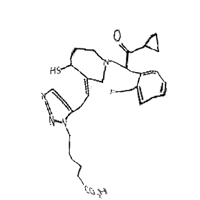 O=C(O)CCCCn1nncc1/C=C1/CN(C(C(=O)C2CC2)c2ccccc2F)CCC1S